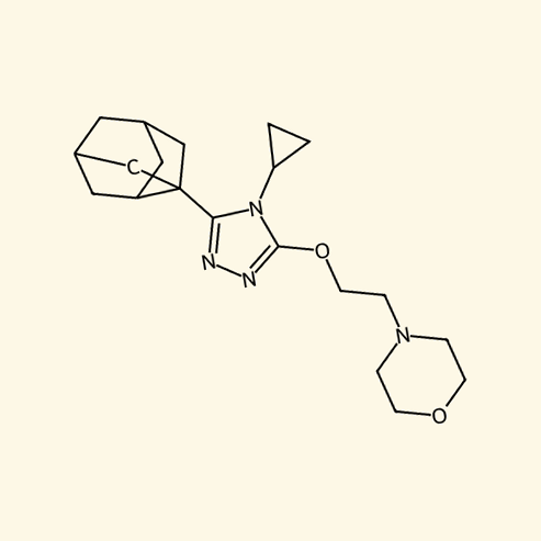 C1CN(CCOc2nnc(C34CC5CC(CC3C5)C4)n2C2CC2)CCO1